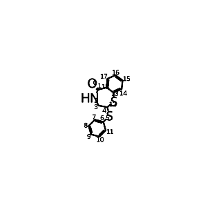 O=C1NCC(Sc2ccccc2)Sc2ccccc21